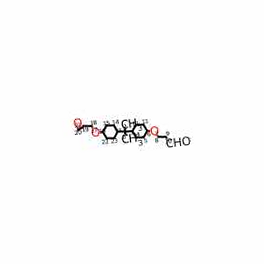 CC(C)(C1CCC(OCCC=O)CC1)C1CCC(OCC2CO2)CC1